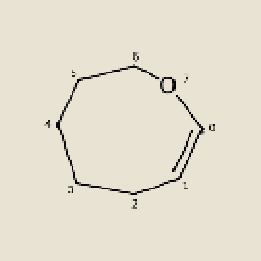 [C]1=C\CCCCCO/1